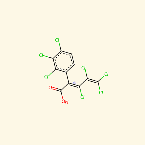 O=C(O)/C(=C(\Cl)C(Cl)=C(Cl)Cl)c1ccc(Cl)c(Cl)c1Cl